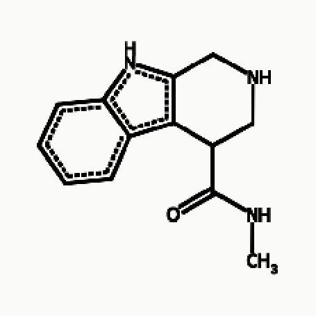 CNC(=O)C1CNCc2[nH]c3ccccc3c21